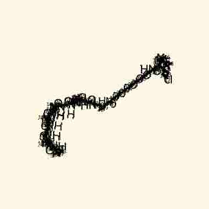 Cc1sc2c(c1C)C(c1ccc(Cl)cc1)=N[C@@H](CC(=O)NCCOCCOCCOCCOCCOCCOCCC(=O)NCCCN(C)CCCNC(=O)CCNC(=O)c1nc(NC(=O)CCNC(=O)c3cc(NC(=O)c4nc(NC(=O)CCNC(=O)c5cc(NC(=O)c6nccn6C)cn5C)cn4C)cn3C)cn1C)c1nnc(C)n1-2